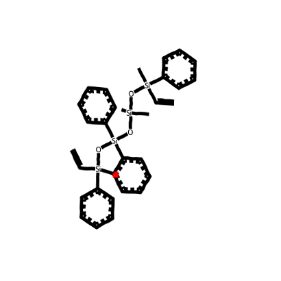 C=C[Si](C)(O[Si](C)(C)O[Si](O[Si](C)(C=C)c1ccccc1)(c1ccccc1)c1ccccc1)c1ccccc1